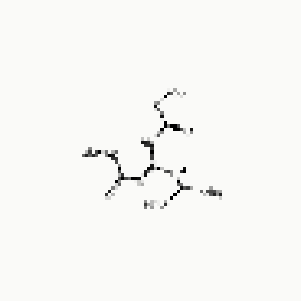 CCCCC(NC(=NC(=O)OC(C)(C)C)NC(=O)OC(C)(C)C)C(=O)O